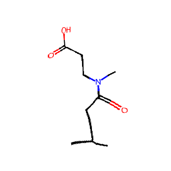 CC(C)CC(=O)N(C)CCC(=O)O